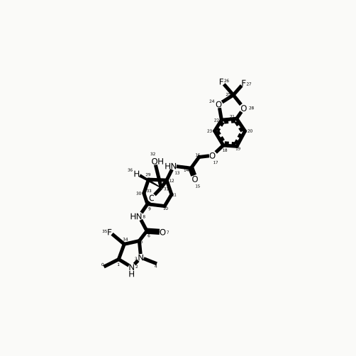 CC1NN(C)C(C(=O)NC23CCC(NC(=O)COc4ccc5c(c4)OC(F)(F)O5)(CC2)[C@@H](O)C3)C1F